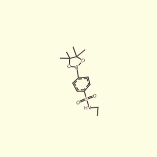 CCNS(=O)(=O)c1ccc(B2OC(C)(C)C(C)(C)O2)cc1